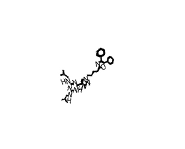 CC(C)CNC1=NC(c2cn(CCCCc3nc(-c4ccccc4)c(-c4ccccc4)o3)nn2)NC(NCC(C)C)=N1